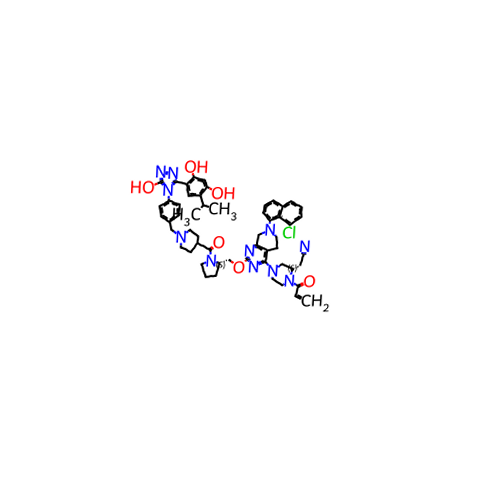 C=CC(=O)N1CCN(c2nc(OC[C@@H]3CCCN3C(=O)C3CCN(Cc4ccc(-n5c(O)nnc5-c5cc(C(C)C)c(O)cc5O)cc4)CC3)nc3c2CCN(c2cccc4cccc(Cl)c24)C3)C[C@@H]1CC#N